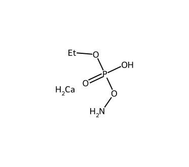 CCOP(=O)(O)ON.[CaH2]